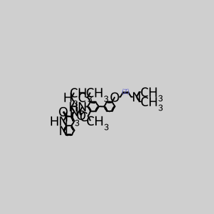 CCCCN(C(=O)Nc1c(C(C)C)cc(-c2cccc(OC/C=C\CN(CC)CC)c2)cc1C(C)C)c1cc2cccnc2[nH]c1=O